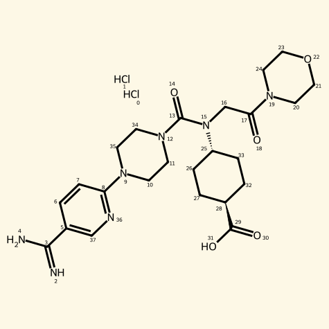 Cl.Cl.N=C(N)c1ccc(N2CCN(C(=O)N(CC(=O)N3CCOCC3)[C@H]3CC[C@H](C(=O)O)CC3)CC2)nc1